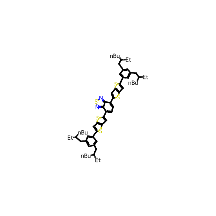 CCCCC(CC)Cc1cc(CC(CC)CCCC)cc(-c2cc3sc(-c4ccc(-c5cc6sc(-c7cc(CC(CC)CCCC)cc(CC(CC)CCCC)c7)cc6s5)c5nsnc45)cc3s2)c1